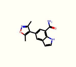 Cc1noc(C)c1-c1cc(C(N)=O)c2[nH]ccc2c1